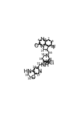 Cl.Cl.O=c1cnc2ccc(F)c3c2n1CC3CN1CCC(NCc2cc3c(cn2)OCCN3)CC1